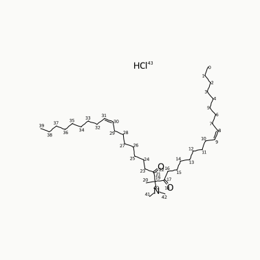 CCCCCCCC/C=C\CCCCCCCC(=O)C(C)(C(=O)CCCCCCC/C=C\CCCCCCCC)N(C)C.Cl